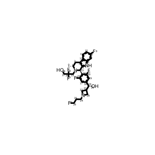 C[C@@H]1Cc2c([nH]c3cc(F)ccc23)[C@@H](c2c(F)cc([C@H](O)C3CN(CCCF)C3)cc2F)N1CC(F)(F)CO